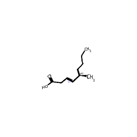 CCCC[C@@H](C)/C=C/CC(=O)O